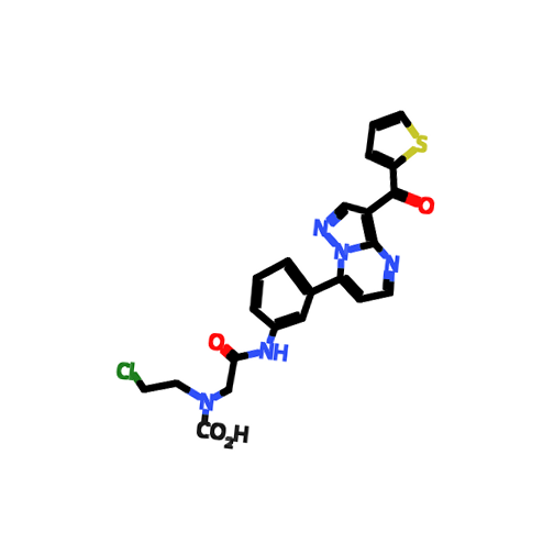 O=C(CN(CCCl)C(=O)O)Nc1cccc(-c2ccnc3c(C(=O)c4cccs4)cnn23)c1